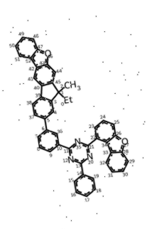 CCC1(C)c2cc(-c3cccc(-c4nc(-c5ccccc5)nc(-c5cccc6oc7ccccc7c56)n4)c3)ccc2-c2cc3c(cc21)oc1ccccc13